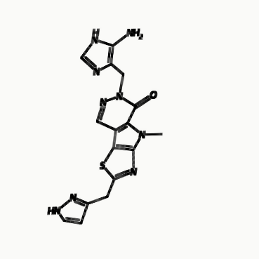 Cn1c2nc(Cc3cc[nH]n3)sc2c2cnn(Cc3nc[nH]c3N)c(=O)c21